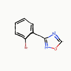 Brc1ccccc1-c1n[c]on1